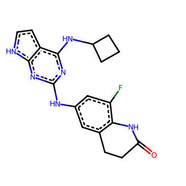 O=C1CCc2cc(Nc3nc(NC4CCC4)c4cc[nH]c4n3)cc(F)c2N1